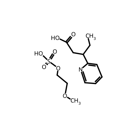 CCC(CC(=O)O)c1ccccn1.COCCOS(=O)(=O)O